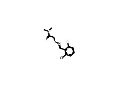 CN(C)C(=O)CON=Cc1c(Cl)cccc1Cl